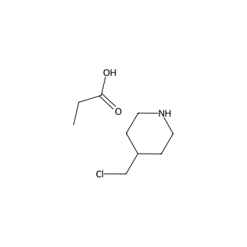 CCC(=O)O.ClCC1CCNCC1